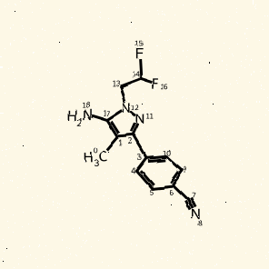 Cc1c(-c2ccc(C#N)cc2)nn(CC(F)F)c1N